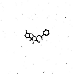 CC1CCC(C2(C)C(O)N(CC(=O)c3ccccc3)C(=O)N2C)C1